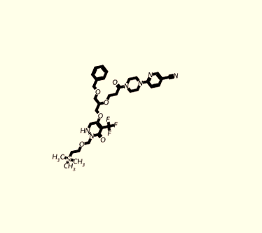 C[Si](C)(C)CCOCN1NCC(OCC(COCc2ccccc2)OCCC(=O)N2CCN(c3ccc(C#N)cn3)CC2)=C(C(F)(F)F)C1=O